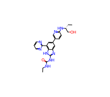 CCNC(=O)Nc1nc2cc(-c3ccc(N[C@H](CC)CO)nc3)cc(-c3ncccn3)c2[nH]1